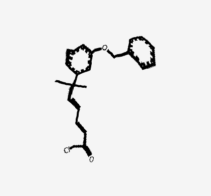 CC(C)(C=CC=CC(=O)Cl)c1cccc(OCc2ccccc2)c1